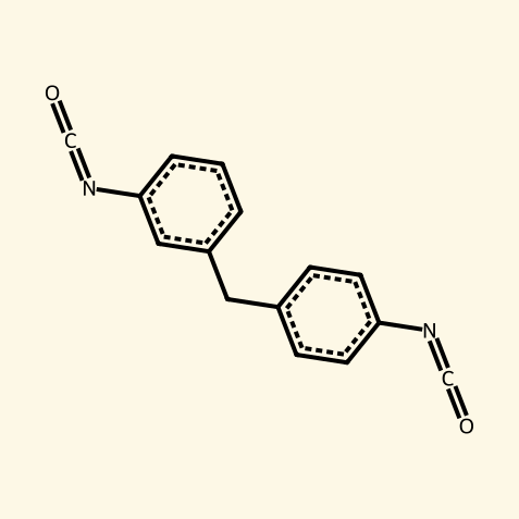 O=C=Nc1ccc(Cc2cccc(N=C=O)c2)cc1